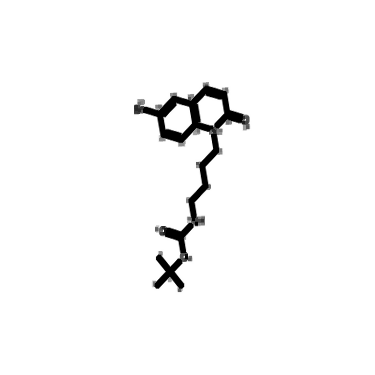 CC(C)(C)OC(=O)NCCCCn1c(=O)ccc2cc(Br)ccc21